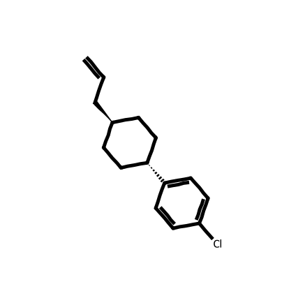 C=CC[C@H]1CC[C@H](c2ccc(Cl)cc2)CC1